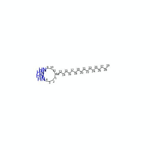 C1CCCCNNNNCCC1.CCCCCCCCCCCCCCCCCC